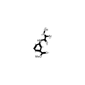 COC(=O)c1cccc(NC(=O)C(=NO)C(C)=O)c1